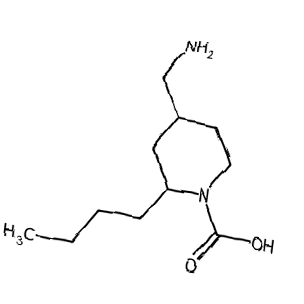 CCCCC1CC(CN)CCN1C(=O)O